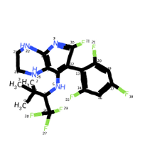 CC(C)(C)C(Nc1c2c(nc(F)c1-c1c(F)cc(F)cc1F)NCCN2)C(F)(F)F